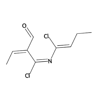 C\C=C(C=O)/C(Cl)=N\C(Cl)=C\CC